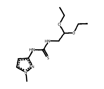 CCOC(CNC(=S)Nc1ccn(C)n1)OCC